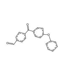 O=Cc1ccc(C(=O)c2ccc(Oc3ccccc3)cc2)cc1